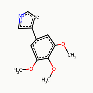 COc1cc(-c2cnc[se]2)cc(OC)c1OC